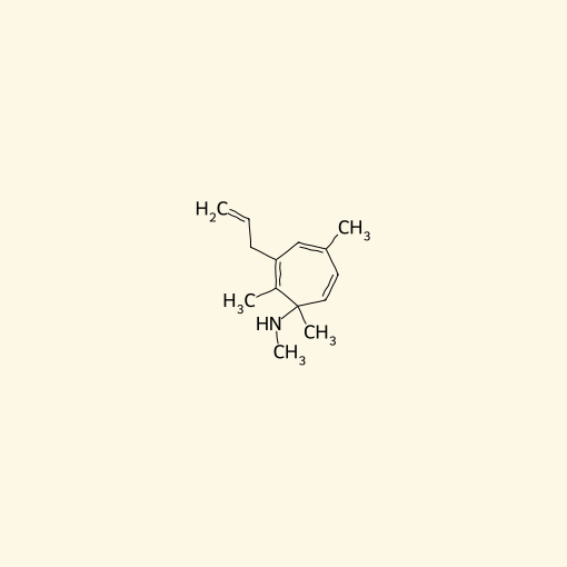 C=CCC1=C(C)C(C)(NC)C=CC(C)=C1